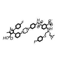 Cc1c(C(=O)O)c(-c2cccc(N3CCN(c4ccc(NS(=O)(=O)c5ccc(N[C@H](CCN(C)C)CSc6ccc(F)cc6)c([N+](=O)[O-])c5)cc4)CC3)c2)c(-c2ccc(F)cc2)n1C